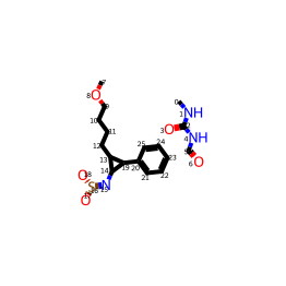 CNC(=O)NC=O.COCCCCC1C(N=S(=O)=O)C1c1ccccc1